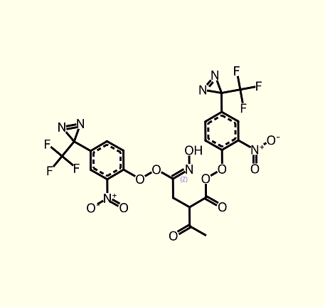 CC(=O)C(C/C(=N/O)OOc1ccc(C2(C(F)(F)F)N=N2)cc1[N+](=O)[O-])C(=O)OOc1ccc(C2(C(F)(F)F)N=N2)cc1[N+](=O)[O-]